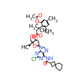 C#C[C@]1(CO)O[C@@H](n2cnc3c(NC(=O)C4CC5(CCCCC5)C4)nc(Cl)nc32)C[C@@H]1OC(=O)CC(C)(C)c1c(C)cc(C)cc1OC(C)=O